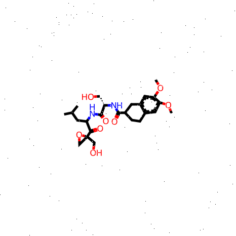 COc1cc2c(cc1OC)CC(C(=O)N[C@@H](CO)C(=O)NC(CC(C)C)C(=O)C1(CO)CO1)CC2